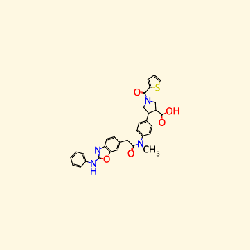 CN(C(=O)Cc1ccc2nc(Nc3ccccc3)oc2c1)c1ccc(C2CN(C(=O)c3cccs3)CC2C(=O)O)cc1